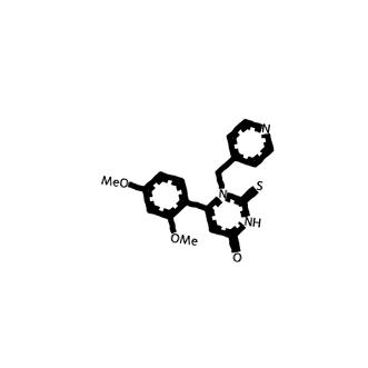 COc1ccc(-c2cc(=O)[nH]c(=S)n2Cc2ccncc2)c(OC)c1